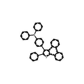 c1ccc(-c2sc3c4ccccc4c4ccccc4c3c2-c2ccc(N(c3ccccc3)c3ccccc3)cc2)cc1